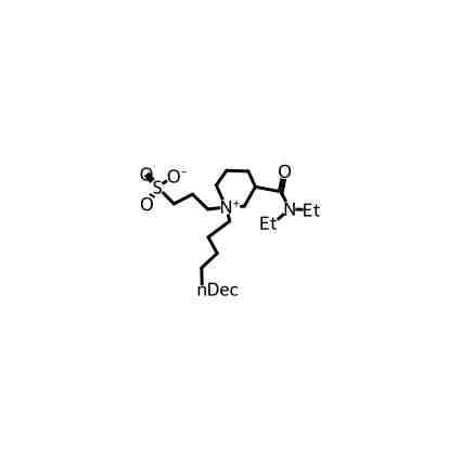 CCCCCCCCCCCCCC[N+]1(CCCS(=O)(=O)[O-])CCCC(C(=O)N(CC)CC)C1